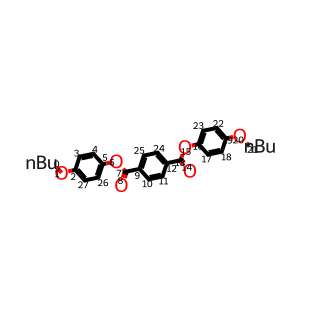 CCCCOc1ccc(OC(=O)c2ccc(C(=O)Oc3ccc(OCCCC)cc3)cc2)cc1